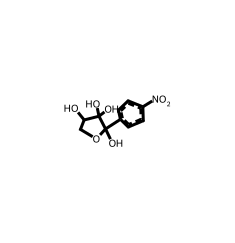 O=[N+]([O-])c1ccc(C2(O)OCC(O)C2(O)O)cc1